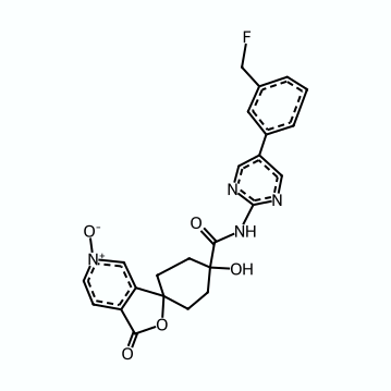 O=C1OC2(CCC(O)(C(=O)Nc3ncc(-c4cccc(CF)c4)cn3)CC2)c2c[n+]([O-])ccc21